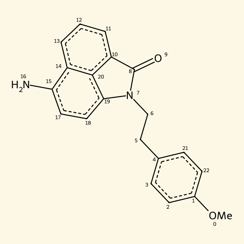 COc1ccc(CCN2C(=O)c3cccc4c(N)ccc2c34)cc1